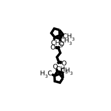 CC1(C)C2CCC1(C)C(OC(=O)CCC(=O)OC1CC3CCC1(C)C3(C)C)C2